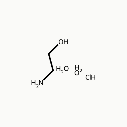 Cl.NCCO.O.O